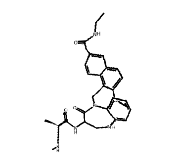 CCNC(=O)c1ccc2c(CN3C(=O)C(NC(=O)[C@H](C)NC)CNc4ccccc43)c(OC)ccc2c1